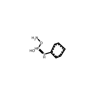 NO[PH](O)=[SH]c1ccccc1